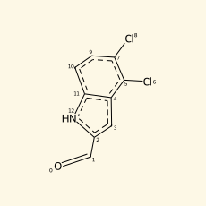 O=Cc1cc2c(Cl)c(Cl)ccc2[nH]1